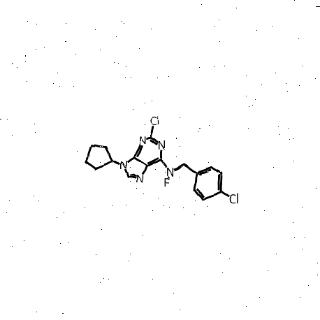 FN(Cc1ccc(Cl)cc1)c1nc(Cl)nc2c1ncn2C1CCCC1